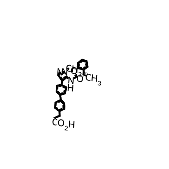 C[C@@H](OC(=O)Nc1c(-c2ccc(-c3ccc(CCC(=O)O)cc3)cc2)cnn1C)c1ccccc1